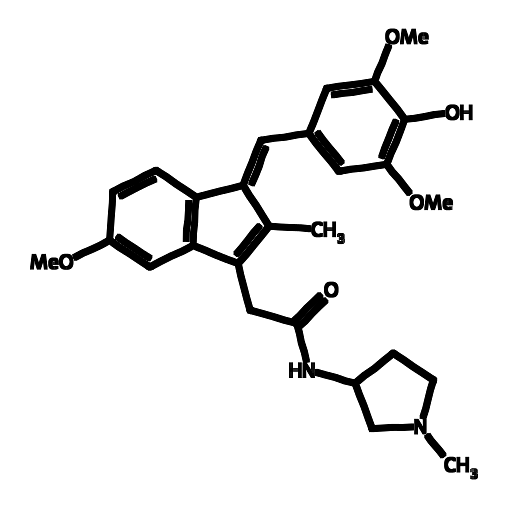 COc1ccc2c(c1)C(CC(=O)NC1CCN(C)C1)=C(C)C2=Cc1cc(OC)c(O)c(OC)c1